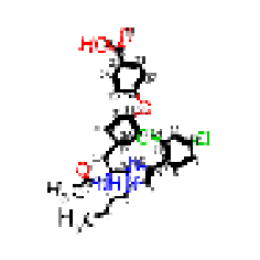 CCCCn1cc(-c2ccc(Cl)cc2Cl)nc1[C@H](Cc1ccc(Oc2ccc(C(=O)O)cc2)cc1)NC(C)=O